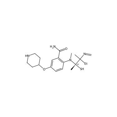 C=NC(C)(CC)[C@](C)(S)N(C)c1ccc(OC2CCNCC2)cc1C(N)=O